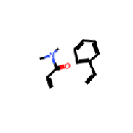 C=CC(=O)N(C)C.C=Cc1ccccc1